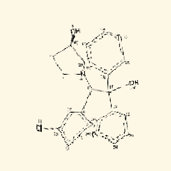 O[C@@H]1CCN(C(c2cccc(Cl)c2)C(O)(c2cccnc2)c2cccnc2)C1